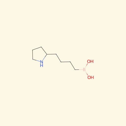 OB(O)CCCCC1CCCN1